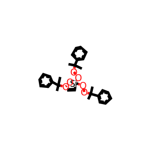 C=C[Si](OOC(C)(C)c1ccccc1)(OOC(C)(C)c1ccccc1)OOC(C)(C)c1ccccc1